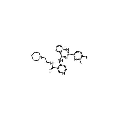 Cc1nc(-c2nc(Nc3ccncc3C(=O)NCCN3CCCCC3)c3cccn3n2)ccc1F